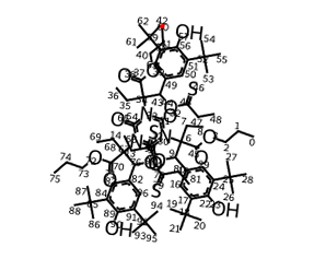 CCCOC(=O)C(CC)(C(OC(=S)CC)c1cc(C(C)(C)C)c(O)c(C(C)(C)C)c1)n1c(=O)n(C(CC)(C(=O)OCCC)C(OC(=S)CC)c2cc(C(C)(C)C)c(O)c(C(C)(C)C)c2)c(=O)n(C(CC)(C(=O)OCCC)C(OC(=S)CC)c2cc(C(C)(C)C)c(O)c(C(C)(C)C)c2)c1=O